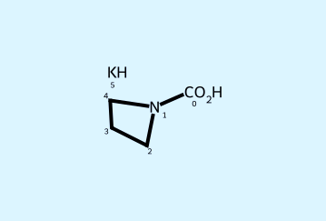 O=C(O)N1CCC1.[KH]